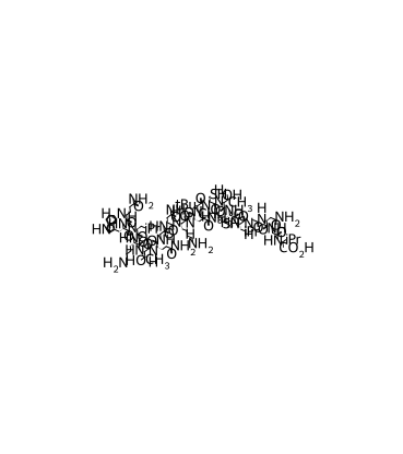 CC(C)C[C@H](NC(=O)[C@H](CS)NC(=O)[C@@H](NC(=O)[C@H](CS)NC(=O)[C@@H](N(C)C(=O)[C@H](CCC(N)=O)NC(=O)[C@H](CCCCN)NC(=O)[C@H](CC(N)=O)NC(=O)CNC(=O)[C@H](CCC(N)=O)NC(=O)[C@@H](NC(=O)[C@H](CCCCN)NC(=O)[C@H](CC(C)C)NC(=O)[C@H](Cc1c[nH]c2ccccc12)NC(=O)[C@@H](N)CCC(N)=O)[C@@H](C)O)C(C)(C)C)[C@@H](C)O)C(=O)NCC(=O)N[C@@H](CC(N)=O)C(=O)NCC(=O)N[C@H](C(=O)O)C(C)C